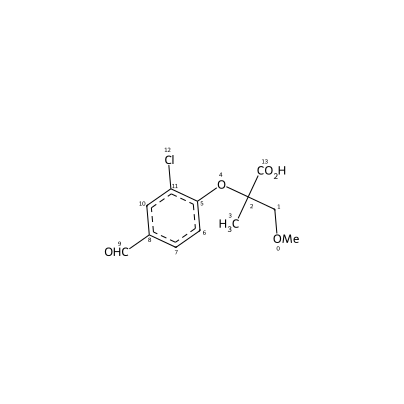 COCC(C)(Oc1ccc(C=O)cc1Cl)C(=O)O